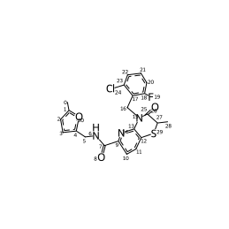 Cc1ccc(CNC(=O)c2ccc3c(n2)N(Cc2c(F)cccc2Cl)C(=O)C(C)S3)o1